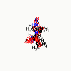 COc1ccc(/C=C\c2cc(OC)c(OC)c(OC)c2)cc1OS(=O)(=O)Cc1ccc(OCc2ccc(OS(=O)(=O)Oc3cc(C(=O)NCC(C)(C)COCC(C)(C)Cn4cc(COCC(C)(C)COCC(C)(C)CNC(=O)C5CCC(CN6C(=O)C=CC6=O)CC5)nn4)ccc3O[C@H]3O[C@@H](CO)CC[C@@H]3O)cc2)c(CS(=O)(=O)Oc2cc(/C=C\c3cc(OC)c(OC)c(OC)c3)ccc2OC)c1